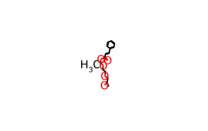 CC(OCCOCC1CO1)OC(=O)/C=C/c1ccccc1